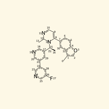 Cc1coc2ccc(C3=CC=NC(C)N3[C@@H](C)c3cncc(-c4cncc(F)c4)c3)cc12